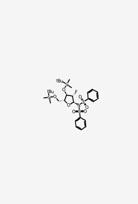 CC(C)(C)[Si](C)(C)OC[C@H]1O[C@H](N(S(=O)(=O)c2ccccc2)S(=O)(=O)c2ccccc2)[C@@H](F)[C@@H]1O[Si](C)(C)C(C)(C)C